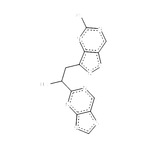 CC(C)c1ncc2snc(CC(C)c3ncc4scnc4n3)c2n1